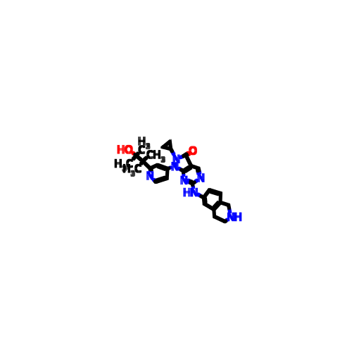 CC(C)(O)C(C)(C)c1cc(-n2c3nc(Nc4ccc5c(c4)CCNC5)ncc3c(=O)n2C2CC2)ccn1